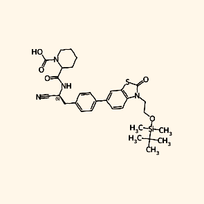 CC(C)(C)[Si](C)(C)OCCn1c(=O)sc2cc(-c3ccc(C[C@@H](C#N)NC(=O)C4CCCCN4C(=O)O)cc3)ccc21